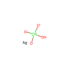 [Ag].[O-][Cl+3]([O-])([O-])O